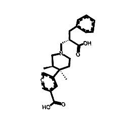 C[C@H]1CN(C[C@H](Cc2ccccc2)C(=O)O)CC[C@@]1(C)c1cccc(C(=O)O)c1